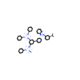 Cc1nc(-c2ccccc2)nc(-c2cc(-c3cccc(-n4c(-c5cccc(C(C)C)c5)nc5ccccc54)c3)cc(-c3nc(-c4ccccc4)nc(-c4ccccc4)n3)c2)n1